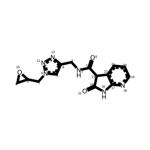 O=C(NCc1cn(CC2CO2)nn1)C1C(=O)Nc2ncccc21